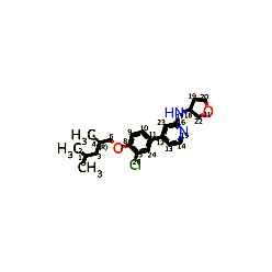 CC(C)C[C@@H](C)COc1ccc(-c2ccnc(NC3CCOC3)c2)cc1Cl